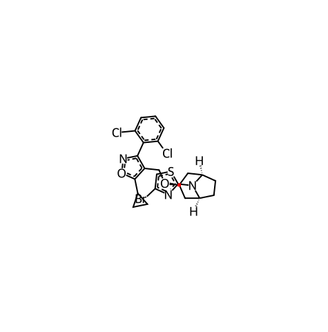 Clc1cccc(Cl)c1-c1noc(C2CC2)c1CO[C@H]1C[C@H]2CC[C@@H](C1)N2c1nc(Br)cs1